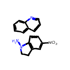 NN1CCc2cc([N+](=O)[O-])ccc21.c1ccc2ncccc2c1